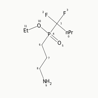 CCCC(F)(F)P(=O)(CCCN)OCC